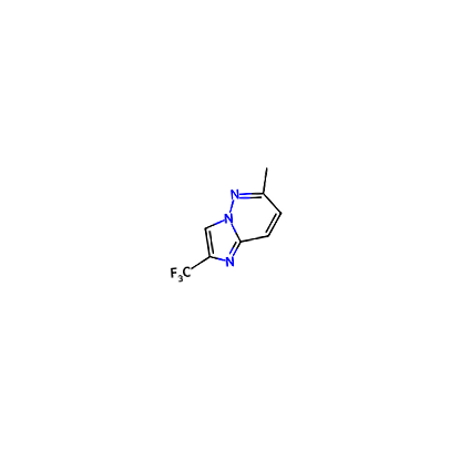 Cc1ccc2nc(C(F)(F)F)cn2n1